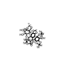 [2H]C([2H])([2H])Oc1cc([C@]2([2H])c3cc4c(cc3[C@@H](O[C@@H]3O[C@@H]5CO[C@@H](C)O[C@H]5[C@H](O)[C@H]3O)[C@@H]3[C@@H]2C(=O)OC3([2H])[2H])OCO4)cc(OC([2H])([2H])[2H])c1O